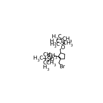 CC(C)(C)[Si](C)(C)OCC1=C(CBr)CCC1CO[Si](C)(C)C(C)(C)C